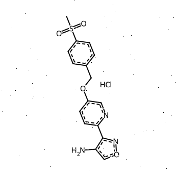 CS(=O)(=O)c1ccc(COc2ccc(-c3nocc3N)nc2)cc1.Cl